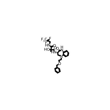 CC(O)(C(=O)NCC(F)(F)C(F)(F)F)C(=O)N[C@H]1CN(CCOCc2ccccc2)c2ccccc2NC1=O